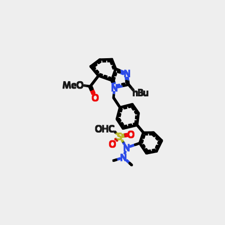 CCCCc1nc2cccc(C(=O)OC)c2n1Cc1ccc(-c2ccccc2N(N(C)C)S(=O)(=O)C=O)cc1